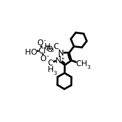 Cc1c(C2CCCCC2)n(C)[n+](C)c1C1CCCCC1.[O-][Cl+3]([O-])([O-])O